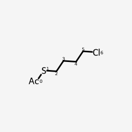 CC(=O)SCCCCCl